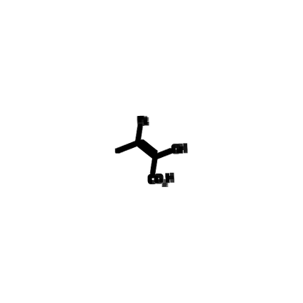 CCC(C)=C(O)C(=O)O